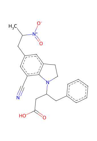 CC(Cc1cc(C#N)c2c(c1)CCN2C(CC(=O)O)Cc1ccccc1)[N+](=O)[O-]